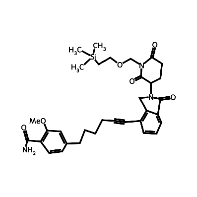 COc1cc(CCCCC#Cc2cccc3c2CN(C2CCC(=O)N(COCC[Si](C)(C)C)C2=O)C3=O)ccc1C(N)=O